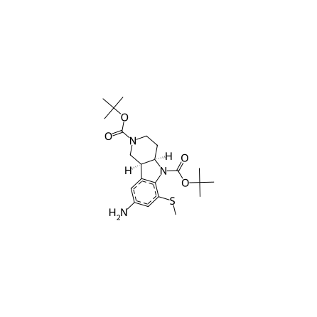 CSc1cc(N)cc2c1N(C(=O)OC(C)(C)C)[C@@H]1CCN(C(=O)OC(C)(C)C)C[C@H]21